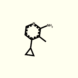 Cc1c(C2CC2)ccnc1N